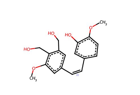 COc1ccc(/C=C\c2cc(CO)c(CO)c(OC)c2)cc1O